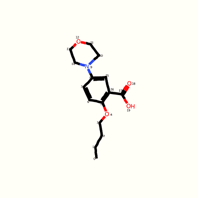 CCCCOc1ccc(N2CCOCC2)cc1C(=O)O